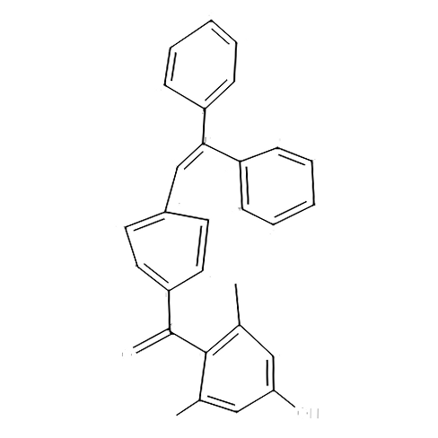 Cc1cc(O)cc(C)c1C(=O)c1ccc(C=C(c2ccccc2)c2ccccc2)cc1